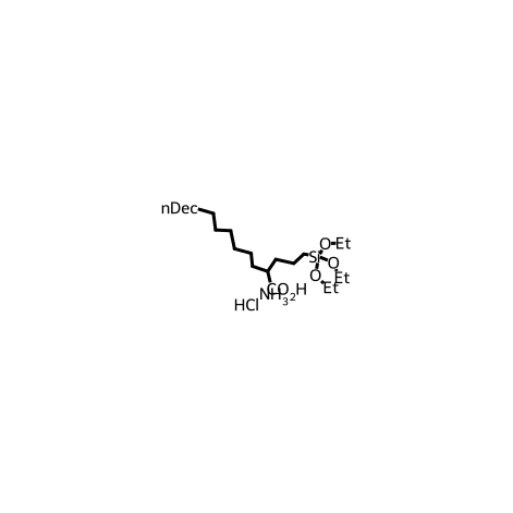 CCCCCCCCCCCCCCCCC(CCC[Si](OCC)(OCC)OCC)C(=O)O.Cl.N